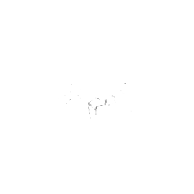 CC(C)c1cc2[nH]c(CNC(=O)C3(C)CC3)cc2cc1C(F)(F)F